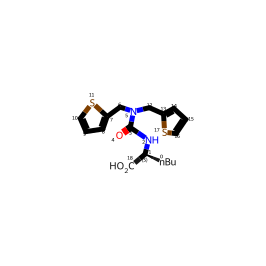 CCCC[C@H](NC(=O)N(Cc1cccs1)Cc1cccs1)C(=O)O